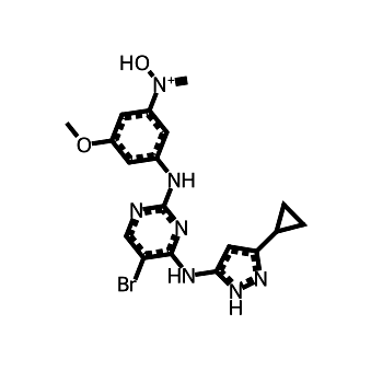 C=[N+](O)c1cc(Nc2ncc(Br)c(Nc3cc(C4CC4)n[nH]3)n2)cc(OC)c1